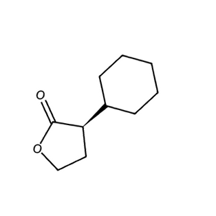 O=C1OCC[C@@H]1C1CCCCC1